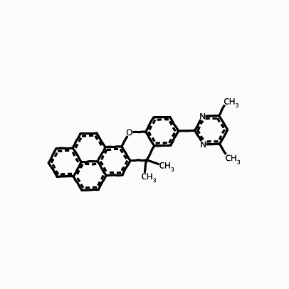 Cc1cc(C)nc(-c2ccc3c(c2)C(C)(C)c2cc4ccc5cccc6ccc(c2O3)c4c56)n1